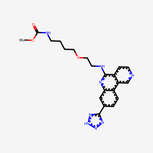 CC(C)(C)OC(=O)NCCCCOCCNc1nc2cc(-c3nn[nH]n3)ccc2c2cnccc12